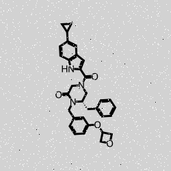 O=C(c1cc2cc(C3CC3)ccc2[nH]1)N1CC(=O)N(Cc2cccc(OC3COC3)c2)[C@@H](Cc2ccccc2)C1